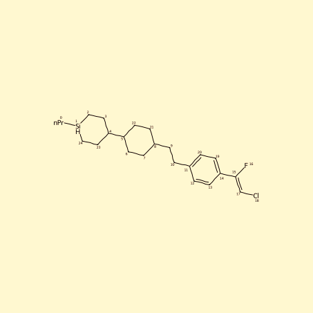 CCC[SiH]1CCC(C2CCC(CCc3ccc(C(F)=CCl)cc3)CC2)CC1